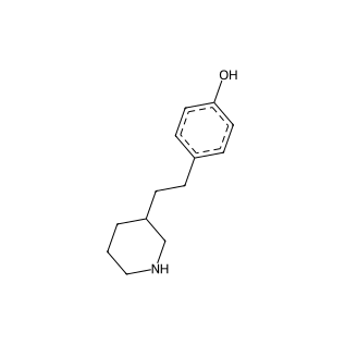 Oc1ccc(CCC2CCCNC2)cc1